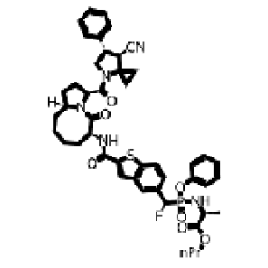 CCCOC(=O)[C@H](C)NP(=O)(Oc1ccccc1)[C@@H](F)c1ccc2sc(C(=O)N[C@H]3CCCC[C@H]4CC[C@@H](C(=O)N5C[C@H](c6ccccc6)[C@@H](C#N)C56CC6)N4C3=O)cc2c1